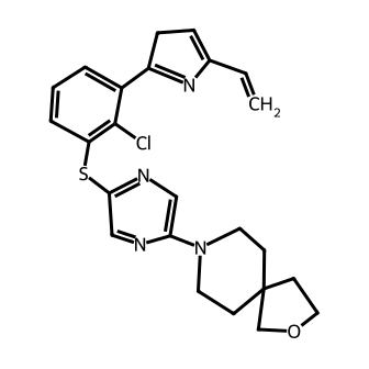 C=CC1=CCC(c2cccc(Sc3cnc(N4CCC5(CCOC5)CC4)cn3)c2Cl)=N1